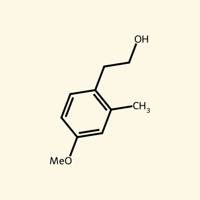 COc1ccc(CCO)c(C)c1